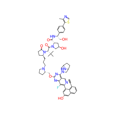 C#Cc1cccc2cc(O)cc(-c3ncc4c(N5CC6CCC(C5)N6)nc(OC[C@@H]5CCCN5CCC[C@H]5CCC(=O)N5[C@H](C(=O)N5C[C@H](O)C[C@H]5C(=O)N[C@@H](CO)c5ccc(-c6scnc6C)cc5)C(C)(C)C)nc4c3F)c12